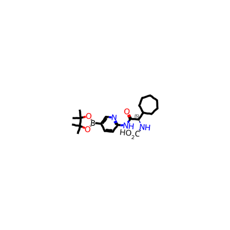 CC1(C)OB(c2ccc(NC(=O)[C@@H](NC(=O)O)C3CCCCCC3)nc2)OC1(C)C